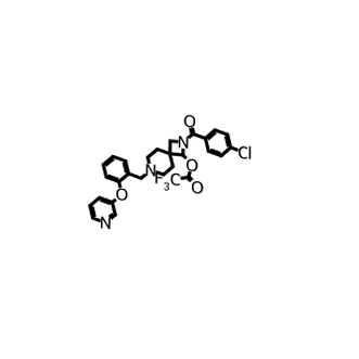 O=C(c1ccc(Cl)cc1)N1CC2(CCN(Cc3ccccc3Oc3cccnc3)CC2)C1OC(=O)C(F)(F)F